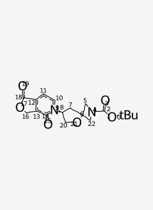 CC(C)(C)OC(=O)N1CC2(C[C@H](n3ccc4c(c3=O)COC4=O)CO2)C1